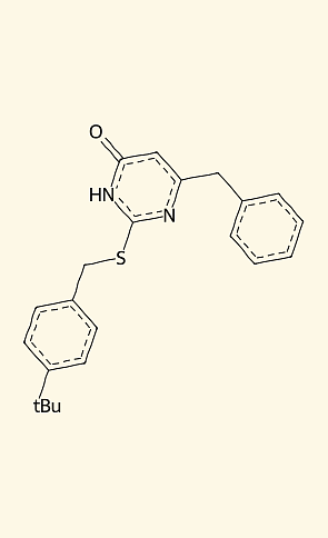 CC(C)(C)c1ccc(CSc2nc(Cc3ccccc3)cc(=O)[nH]2)cc1